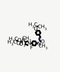 CC(C)Oc1ccc(/C=C/C(=O)N(C)c2ccc(N3CCC(N(C)C(=O)OC(C)(C)C)C3)c(F)c2)cc1